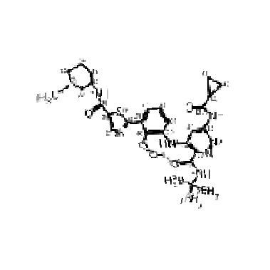 BC(B)(B)NC(=O)c1nnc(NC(=O)C2CC2)cc1Nc1cccc(-c2ncc(C(=O)NC3CCCN(C)C3)s2)c1OC